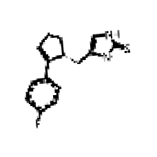 Fc1ccc(C2=CCC[C@@H]2CC2=CNC(=S)[N]2)cc1